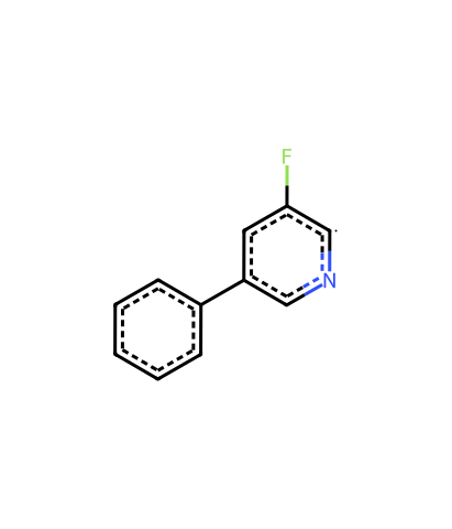 Fc1[c]ncc(-c2ccccc2)c1